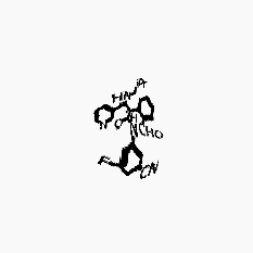 CC(C)CN[C@@H](c1cccnc1)[C@H](C(=O)Nc1cc(F)cc(C#N)c1)c1ccccc1C=O